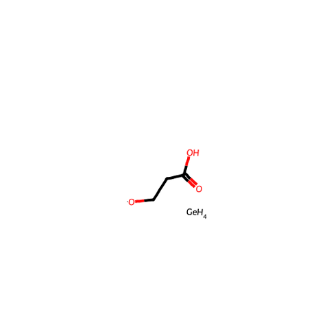 [GeH4].[O]CCC(=O)O